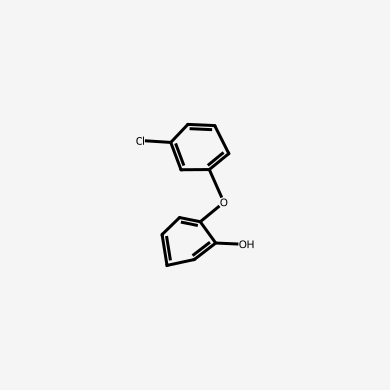 Oc1ccccc1Oc1cccc(Cl)c1